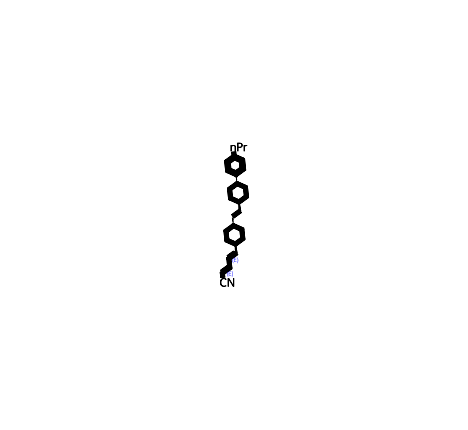 CCCc1ccc([C@H]2CC[C@H](CC[C@H]3CC[C@H](/C=C/C=C/C#N)CC3)CC2)cc1